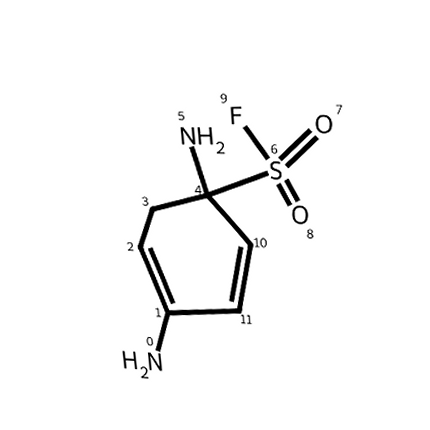 NC1=CCC(N)(S(=O)(=O)F)C=C1